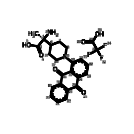 C[C@@](N)(C(=O)O)C1CCN(c2cccc3c2C(=O)c2ccccc2C3=O)CC1.O=C(O)C(F)(F)F